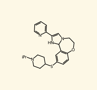 CC(C)N1CCC(Sc2ccc3c(c2)C2NC(c4ccccn4)=CN2CCO3)CC1